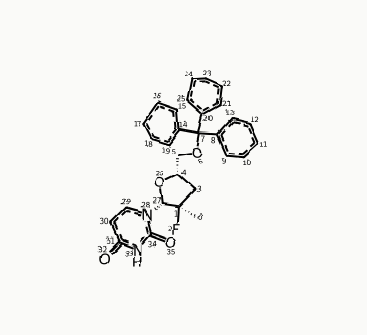 C[C@@]1(F)C[C@@H](COC(c2ccccc2)(c2ccccc2)c2ccccc2)O[C@H]1n1ccc(=O)[nH]c1=O